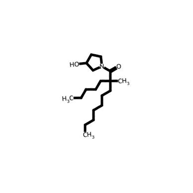 CCCCCCCC(C)(CCCCC)C(=O)N1CCC(O)C1